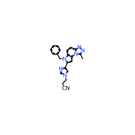 Cc1nnc2ccc3c(cc(-c4cn(CCC#N)cn4)n3Cc3ccccc3)n12